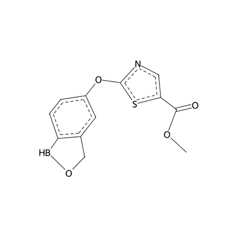 COC(=O)c1cnc(Oc2ccc3c(c2)COB3)s1